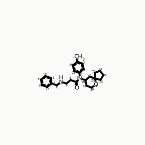 Cc1ccc(N(C(=O)CCNCc2ccccc2)C2CCOC3(CCCC3)C2)cc1